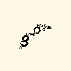 CC(C)(C)S(=O)(=O)NC1CCN(C(=O)Nc2ccc3oc(=O)ccc3c2)CC1